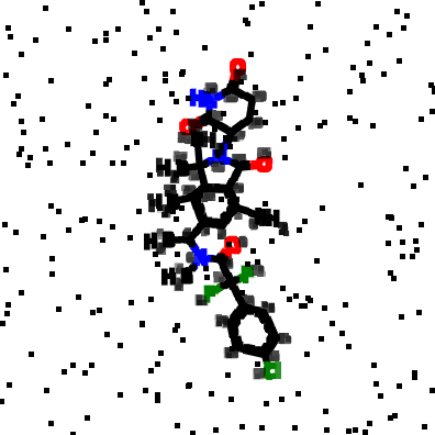 Bc1cc(C(B)N(B)C(=O)C(F)(F)c2ccc(Cl)cc2)c(B)c2c1C(=O)N(C1CCC(=O)NC1=O)C2(B)B